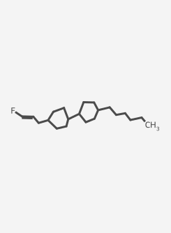 CCCCCCC1CCC(C2CCC(CC=CF)CC2)CC1